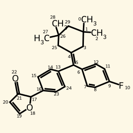 CC1(C)CC(=C(c2ccc(F)cc2)c2ccc(C3OC=CC3=O)cc2)CC(C)(C)C1